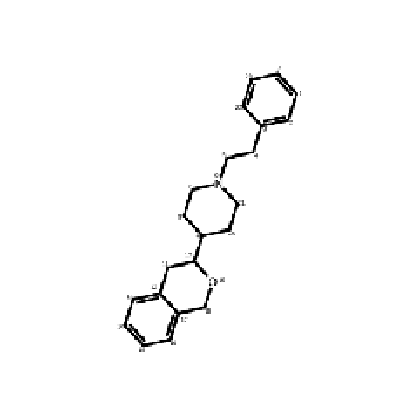 c1ccc(CCN2CCC(C3Cc4ccccc4CO3)CC2)cc1